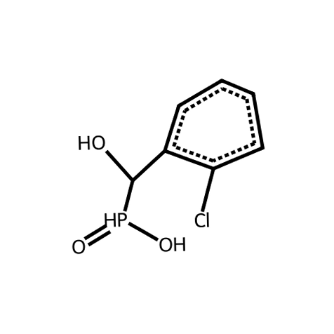 O=[PH](O)C(O)c1ccccc1Cl